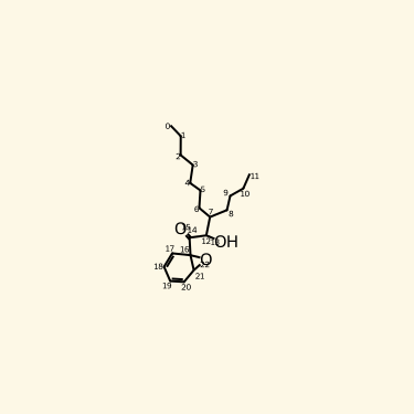 CCCCCCCC(CCCC)C(O)C(=O)C12C=CC=CC1O2